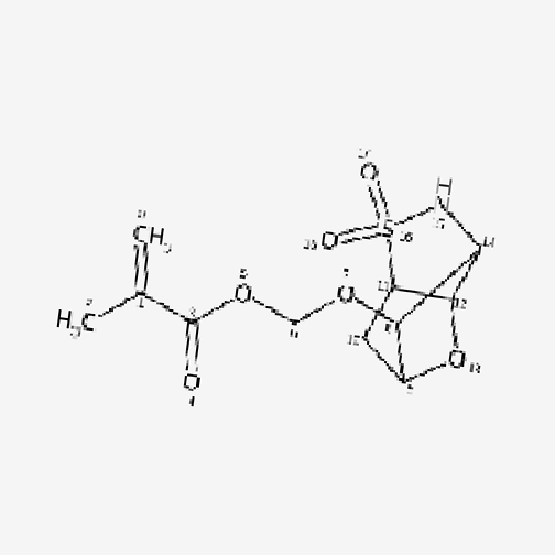 C=C(C)C(=O)OCOC1C2CC3C(O2)C1NS3(=O)=O